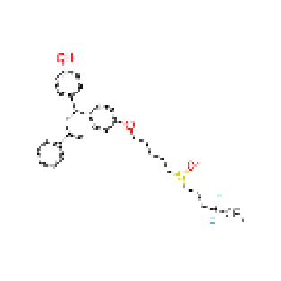 C=C(CC(c1ccc(O)cc1)c1ccc(OCCCCC[S+]([O-])CCCC(F)(F)C(F)(F)F)cc1)c1ccccc1